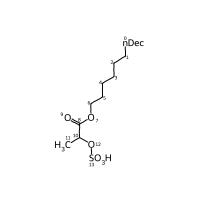 CCCCCCCCCCCCCCCCOC(=O)C(C)OS(=O)(=O)O